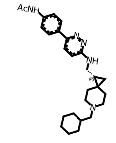 CC(=O)Nc1ccc(-c2ccc(NC[C@@H]3CC34CCN(CC3CCCCC3)CC4)nn2)cc1